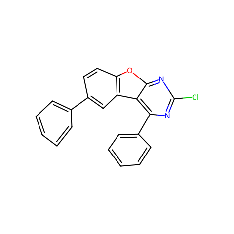 Clc1nc(-c2ccccc2)c2c(n1)oc1ccc(-c3ccccc3)cc12